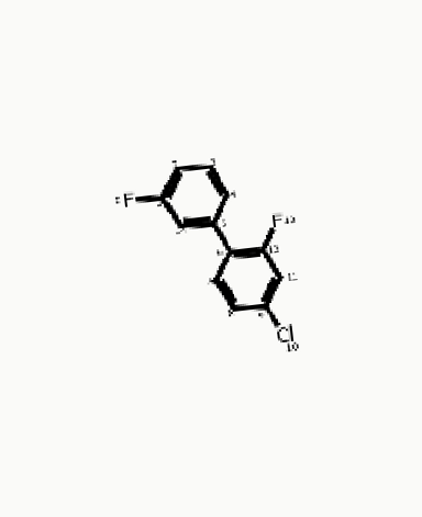 Fc1cc[c]c(-c2ccc(Cl)cc2F)c1